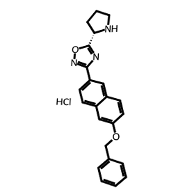 Cl.c1ccc(COc2ccc3cc(-c4noc([C@@H]5CCCN5)n4)ccc3c2)cc1